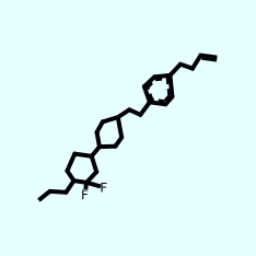 C=CCCc1ccc(CCC2CCC(C3CCC(CCC)C(F)(F)C3)CC2)cc1